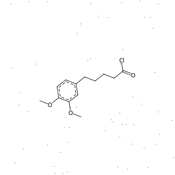 COc1ccc(CCCCC(=O)Cl)cc1OC